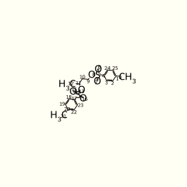 Cc1ccc(S(=O)(=O)OCCC(C)OS(=O)(=O)c2ccc(C)cc2)cc1